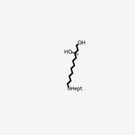 CCCCCCCCCCCCCCC[C@@H](O)CCO